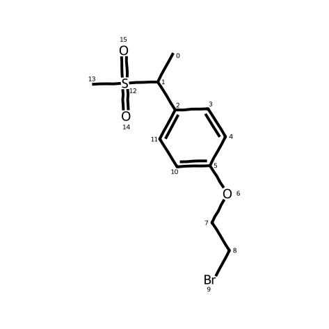 CC(c1ccc(OCCBr)cc1)S(C)(=O)=O